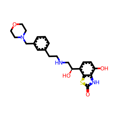 O=c1[nH]c2c(O)ccc([C@@H](O)CNCCc3cccc(CN4CCOCC4)c3)c2s1